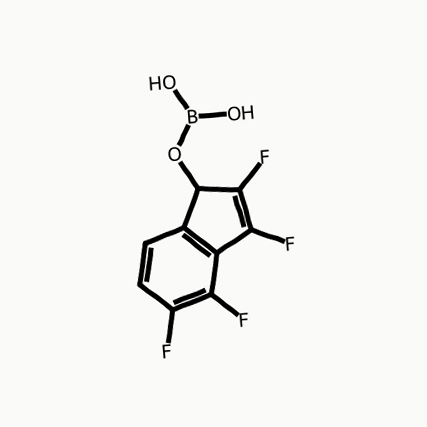 OB(O)OC1C(F)=C(F)c2c1ccc(F)c2F